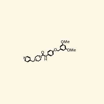 COc1cc(COc2ccc(NC(=O)N3CCN(Cc4ccncc4)CC3)cc2)cc(OC)c1